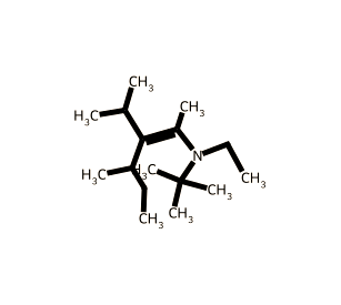 CCC(C)/C(=C(/C)N(CC)C(C)(C)C)C(C)C